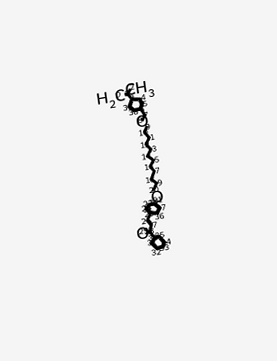 C=C(C)c1ccc(COCCCCCCCCCCCCOc2ccc(/C=C/C(=O)c3ccccc3)cc2)cc1